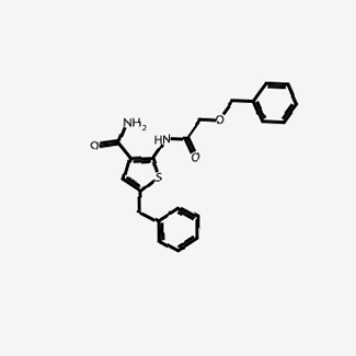 NC(=O)c1cc(Cc2ccccc2)sc1NC(=O)COCc1ccccc1